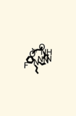 CCCCN1c2ccn3ncc(c3n2)NC(=O)C[C@H](C)Oc2ccc(F)cc21